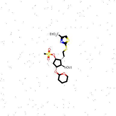 CCCCCCCC[C@@H]1[C@@H](CCSc2nc(C(=O)OCC)cs2)[C@H](OS(C)(=O)=O)C[C@H]1OC1CCCCO1